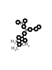 Cc1cc(C)c(-c2c3ccccc3c(-c3ccc(N(c4ccc(-c5ccc6ccccc6c5)cc4)c4ccc5c(c4)c4ccccc4n5-c4ccccc4)cc3)c3ccccc23)c(C)c1